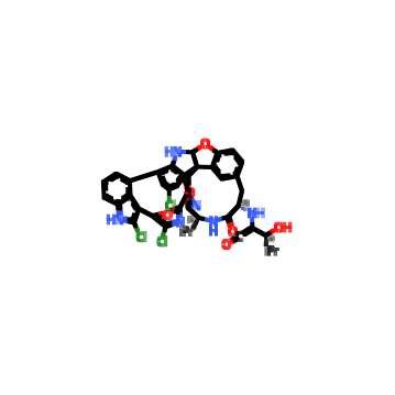 CC(C)[C@H](O)C(=C=O)N[C@H]1Cc2ccc3c(c2)C24c5cc(Cl)cc(c5NC2O3)-c2cccc3[nH]c(Cl)c(c23)-c2oc(nc2Cl)-c2nc(oc24)[C@H](C(C)C)NC1=O